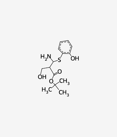 CC(C)(C)OC(=O)C(CO)C(N)Sc1ccccc1O